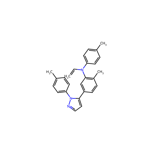 C=CN(c1ccc(C)cc1)c1cc(-c2ccnn2-c2ccc(C)cc2)ccc1C